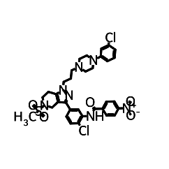 CS(=O)(=O)N1CCc2c(c(-c3ccc(Cl)c(NC(=O)c4ccc([N+](=O)[O-])cc4)c3)nn2CCCN2CCN(c3cccc(Cl)c3)CC2)C1